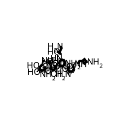 NCC(O)CN[C@@H]1C[C@H](N)[C@@H](O[C@H]2O[C@H](CNCC3CC(N)C3)C=C[C@H]2N)[C@H](O[C@@H]2O[C@H](CO)[C@@H](O[C@H]3O[C@@H](CN)[C@@H](O)[C@H](O)[C@H]3N)[C@H]2O)[C@H]1O